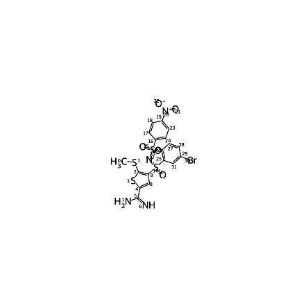 CSc1sc(C(=N)N)cc1S(=O)(=NS(=O)(=O)c1ccc([N+](=O)[O-])cc1)c1cccc(Br)c1